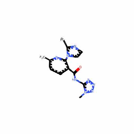 CC(C)c1nccn1-c1nc(C(F)(F)F)ccc1C(=O)Nc1nnnn1C